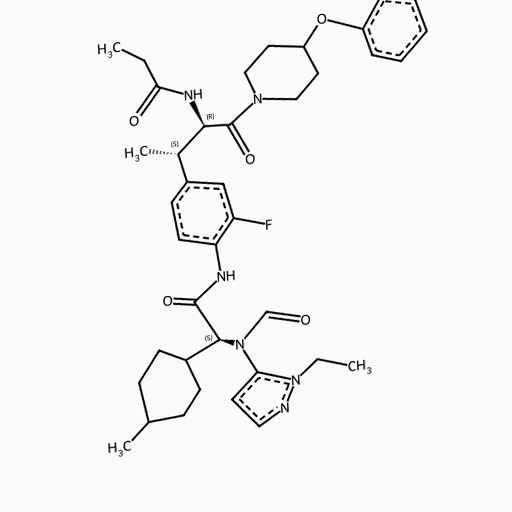 CCC(=O)N[C@@H](C(=O)N1CCC(Oc2ccccc2)CC1)[C@@H](C)c1ccc(NC(=O)[C@H](C2CCC(C)CC2)N(C=O)c2ccnn2CC)c(F)c1